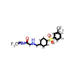 O=C(CNCC1CCC(S(=O)(=O)c2cccc(C(F)(F)F)c2)CC1)NCC(F)(F)F